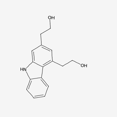 OCCc1cc(CCO)c2c(c1)[nH]c1ccccc12